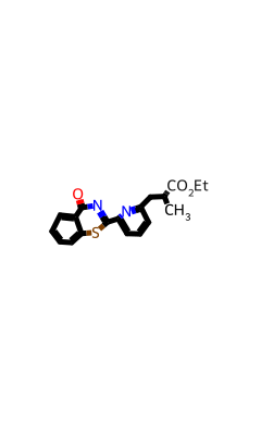 CCOC(=O)C(C)Cc1cccc(-c2nc(=O)c3ccccc3s2)n1